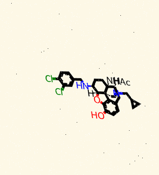 CC(=O)N[C@@]12CC[C@H](NCc3ccc(Cl)c(Cl)c3)[C@@H]3Oc4c(O)ccc5c4[C@@]31CCN(CC1CC1)[C@@H]2C5